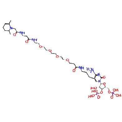 CC1CCCC(C)N1CC(=O)NCCC(=O)NCCOCCOCCOCCOCCC(=O)NCCCc1cn([C@@H]2O[C@H](COP(=O)(O)O)C(OP(=O)(O)O)[C@@H]2O)c(=O)nc1N